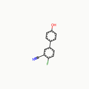 N#Cc1cc(-c2ccc(O)cc2)ccc1F